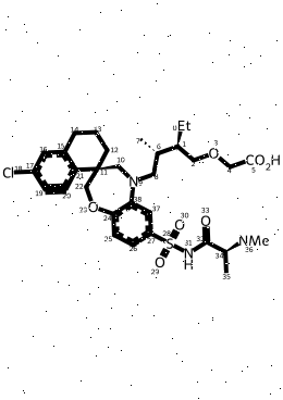 CC[C@@H](COCC(=O)O)[C@@H](C)CN1C[C@@]2(CCCc3cc(Cl)c#cc32)COc2ccc(S(=O)(=O)NC(=O)[C@H](C)NC)cc21